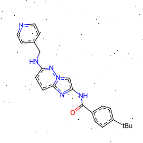 CC(C)(C)c1ccc(C(=O)Nc2cn3nc(NCc4ccncc4)ccc3n2)cc1